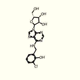 OC[C@H]1OC(n2cnc3c(NCc4cccc(Cl)c4O)ncnc32)[C@H](O)[C@@H]1O